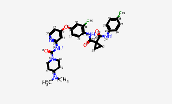 CN(C)C1CCN(C(=O)Nc2cc(Oc3ccc(NC(=O)C4(C(=O)Nc5ccc(F)cc5)CC4)c(F)c3)ccn2)CC1